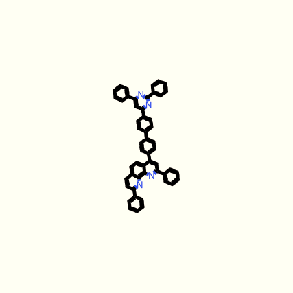 c1ccc(-c2cc(-c3ccc(-c4ccc(-c5cc(-c6ccccc6)nc6c5ccc5ccc(-c7ccccc7)nc56)cc4)cc3)nc(-c3ccccc3)n2)cc1